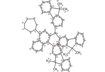 CC1(C)c2ccccc2-c2cc(N(c3ccc4c(c3)-c3ccccc3C4(C)C)c3cc(C4CCCCCC4)c4ccccc4c3-c3ccc4c(c3)C(C)(C)c3ccccc3-4)ccc21